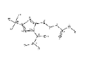 COC(=O)CCSc1nc(C(C)(C)C)nn1C(=O)N(C)C